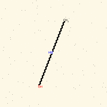 CCCCCCCCCCCCCCCCCCCCCCNCCCCCCCCCCCCCCCCCCCCCCO